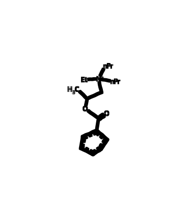 CCC[N+](CC)(CCC)CC(C)OC(=O)c1ccccc1